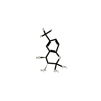 CC1(C)Oc2ccc(C(F)(F)F)cc2[C@H](O)[C@H]1N